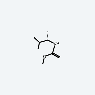 C=C(N[C@@H](C)C(C)C)OC